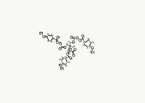 CCOc1ccc(C(=O)OOC(=O)OCC(CC)(COC(=O)OOC(=O)c2ccc(OCC)cc2)COC(=O)OOC(=O)c2ccc(OCC)cc2)cc1